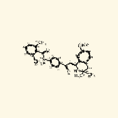 COc1ccc2c(c1)/C(=C/C(=O)c1ccc(NC(=O)c3c(C)cccc3C)cc1)NC(C)(C)C2